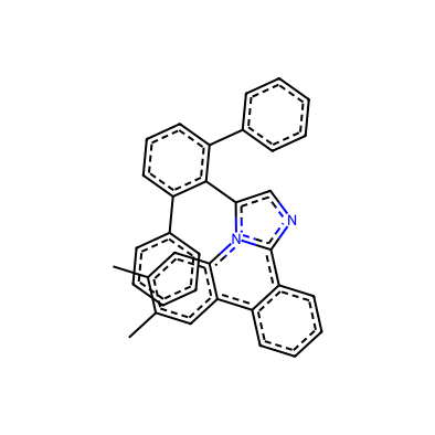 Cc1cc2c3ccccc3c3ncc(-c4c(-c5ccccc5)cccc4-c4ccccc4)n3c2cc1C